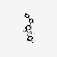 CNC(Cc1ccc(Cl)cc1)C(=O)N1CC=C(c2cccc(-c3ccccc3)c2)CC1